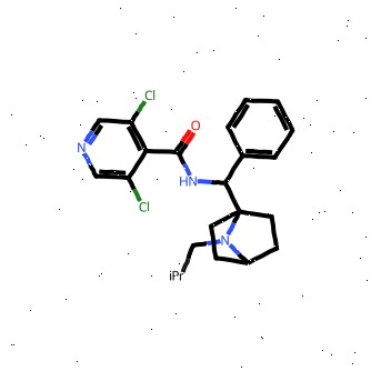 CC(C)CN1C2CCC1(C(NC(=O)c1c(Cl)cncc1Cl)c1ccccc1)CC2